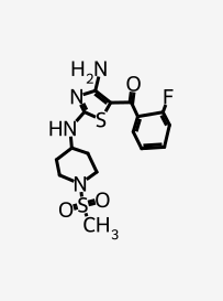 CS(=O)(=O)N1CCC(Nc2nc(N)c(C(=O)c3ccccc3F)s2)CC1